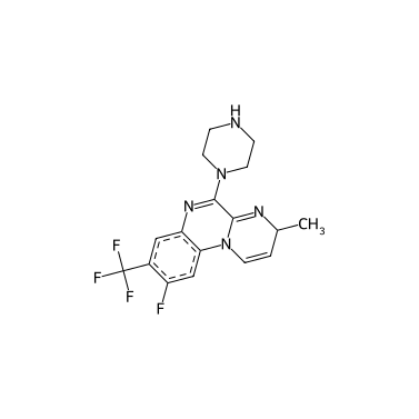 CC1C=CN2C(=N1)C(N1CCNCC1)=Nc1cc(C(F)(F)F)c(F)cc12